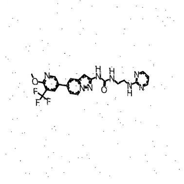 COc1ncc(-c2ccn3nc(NC(=O)NCCNc4ncccn4)cc3c2)cc1C(F)(F)F